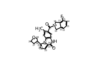 Cc1cc2c(cc1C(=O)N1Cc3cccc(F)c3C1)[nH]c(=O)c1cnc(C3CCOC3)n12